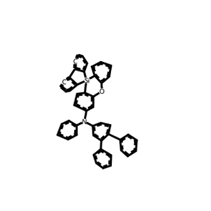 c1ccc(-c2ccc(N(c3ccccc3)c3ccc4c(c3)Oc3ccccc3[Si]43c4ccccc4-c4ccccc43)cc2-c2ccccc2)cc1